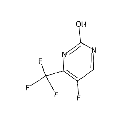 Oc1ncc(F)c(C(F)(F)F)n1